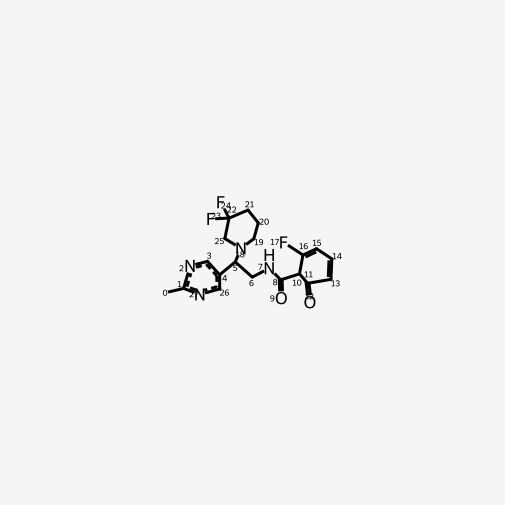 Cc1ncc(C(CNC(=O)C2C(=O)C=CC=C2F)N2CCCC(F)(F)C2)cn1